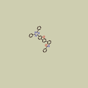 c1ccc(-c2nc(-c3ccccc3)nc(-c3ccc4c(c3)oc3cc(-c5cccc6nc(-c7ccccc7)oc56)ccc34)n2)cc1